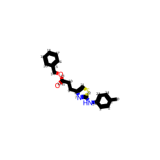 Cc1ccc(Nc2nc(CCC(=O)OCc3ccccc3)cs2)cc1